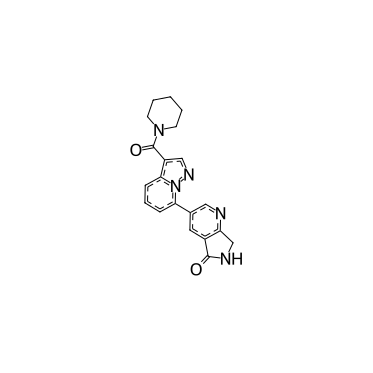 O=C1NCc2ncc(-c3cccc4c(C(=O)N5CCCCC5)cnn34)cc21